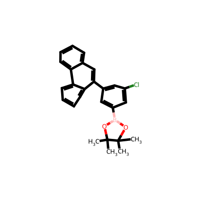 CC1(C)OB(c2cc(Cl)cc(-c3cc4ccccc4c4ccccc34)c2)OC1(C)C